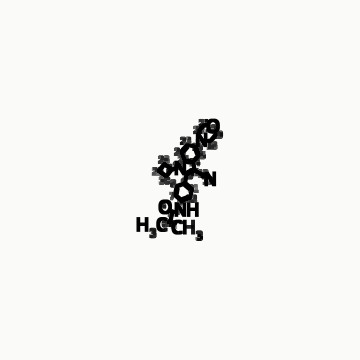 CC(C)C(=O)Nc1ccc(-c2c(C#N)c3cc(N4CCOCC4)ccc3n2C2CCC2)cc1